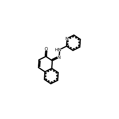 O=C1C=Cc2ccccc2/C1=N/Nc1ccccn1